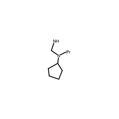 CC(C)N(C[NH])C1CCCC1